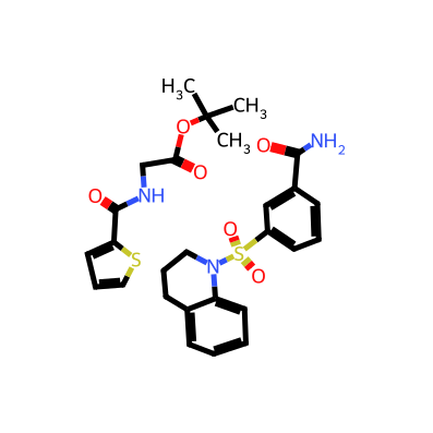 CC(C)(C)OC(=O)CNC(=O)c1cccs1.NC(=O)c1cccc(S(=O)(=O)N2CCCc3ccccc32)c1